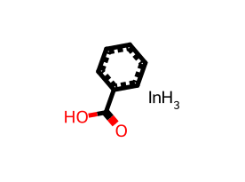 O=C(O)c1ccccc1.[InH3]